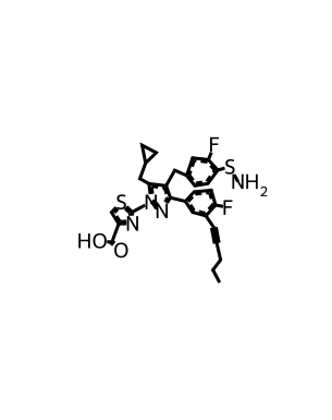 CCCC#Cc1cc(-c2nn(-c3nc(C(=O)O)cs3)c(CC3CC3)c2Cc2ccc(SN)c(F)c2)ccc1F